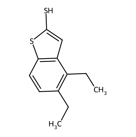 CCc1ccc2sc(S)cc2c1CC